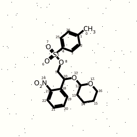 Cc1ccc(S(=O)(=O)OCC(OC2CCCCO2)c2ccccc2[N+](=O)[O-])cc1